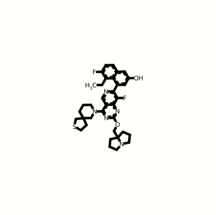 CCc1c(F)ccc2cc(O)cc(-c3ncc4c(N5CCCC6(CCSC6)C5)nc(OCC56CCCN5CCC6)nc4c3F)c12